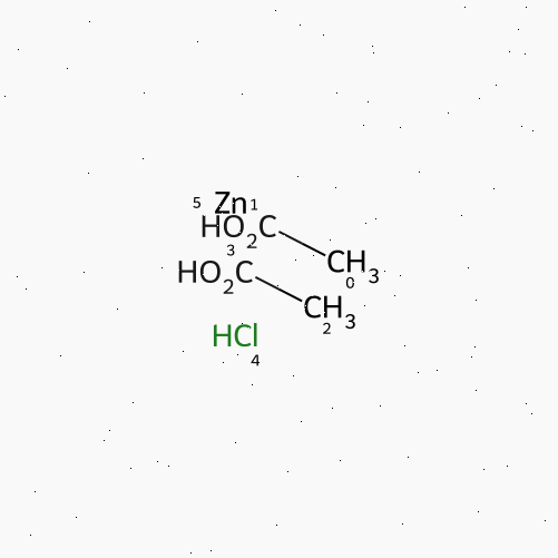 CC(=O)O.CC(=O)O.Cl.[Zn]